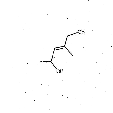 C/C(=C\C(C)O)CO